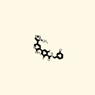 Cn1nncc1-c1cnc(N)c(-c2cc(F)c(C(=O)NCc3cccc(Cl)c3)c(F)c2)c1